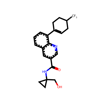 O=C(NC1(CO)CC1)c1cnc2c(C3=CCC(C(F)(F)F)CC3)cccc2c1